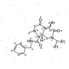 CCC(CC)N1C[C@H]2N(C(=O)CN(C)N2C(=O)NCc2ccccc2)[C@@H](C(C)C)C1=O